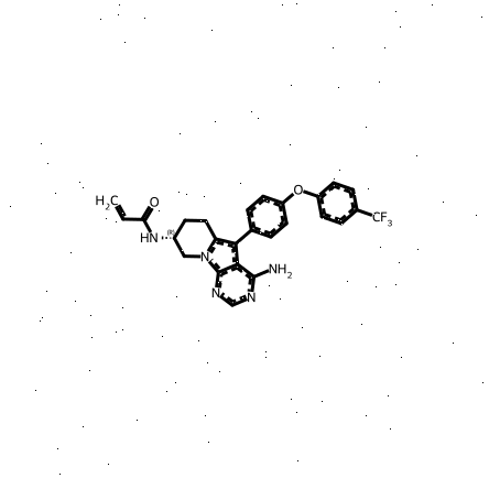 C=CC(=O)N[C@@H]1CCc2c(-c3ccc(Oc4ccc(C(F)(F)F)cc4)cc3)c3c(N)ncnc3n2C1